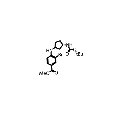 COC(=O)c1ccc(NC2CC[C@@H](NC(=O)OC(C)(C)C)C2)c(Br)c1